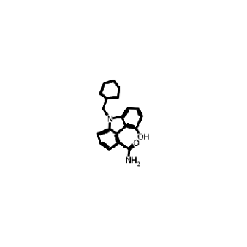 NC(=O)c1cccc2c1c1c(O)cccc1n2CC1CCCCC1